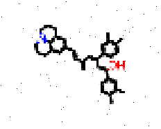 C=C(/C=C/c1cc2c3c(c1)CCCN3CCC2)/C=C(\C=C(/O)c1ccc(C)c(C)c1)c1ccc(C)c(C)c1